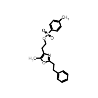 Cc1ccc(S(=O)(=O)OCCc2nc(CCc3ccccc3)oc2C)cc1